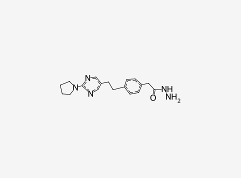 NNC(=O)Cc1ccc(CCc2cnc(N3CCCC3)nc2)cc1